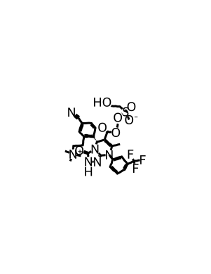 COC(=O)C1=C(C)N(c2cccc(C(F)(F)F)c2)c2n[nH]c(=O)n2[C@@H]1c1ccc(C#N)cc1CC[N+](C)(C)C.O=S(=O)([O-])CCO